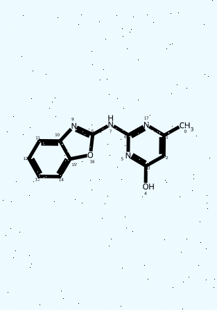 Cc1cc(O)nc(Nc2nc3ccccc3o2)n1